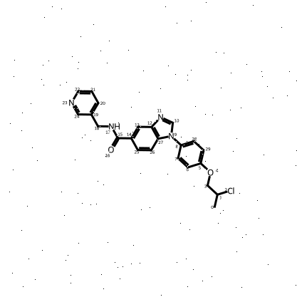 CC(Cl)COc1ccc(-n2cnc3cc(C(=O)NCc4cccnc4)ccc32)cc1